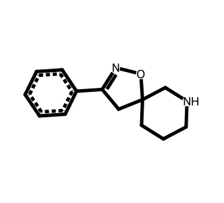 c1ccc(C2=NOC3(CCCNC3)C2)cc1